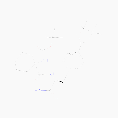 CC(C)(C)OC(=O)NC1(C(=O)N[C@@H](Cc2ccc(B3OC(C)(C)C(C)(C)O3)cc2)C(N)=O)CCCCC1